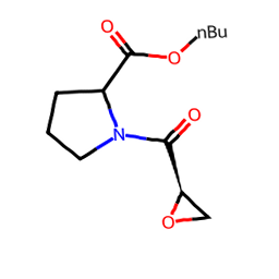 CCCCOC(=O)C1CCCN1C(=O)[C@H]1CO1